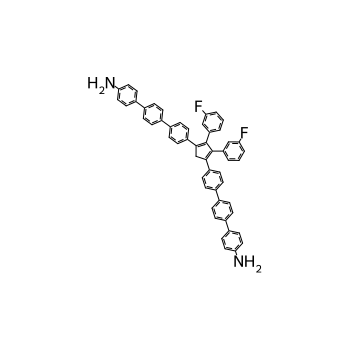 Nc1ccc(-c2ccc(-c3ccc(C4=C(c5cccc(F)c5)C(c5cccc(F)c5)=C(c5ccc(-c6ccc(-c7ccc(N)cc7)cc6)cc5)C4)cc3)cc2)cc1